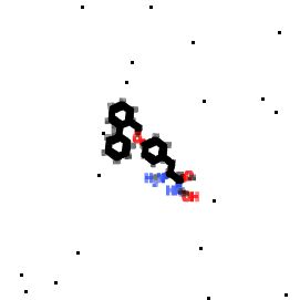 NC(Cc1ccc(OCc2ccccc2-c2ccccc2)cc1)C(=O)NO